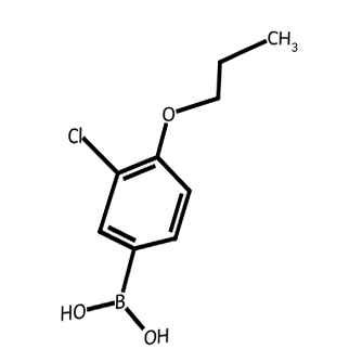 CCCOc1ccc(B(O)O)cc1Cl